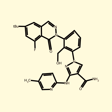 Cc1ccc(Nc2nn(-c3cccc(-n4ncc5cc(C(C)(C)C)cc(F)c5c4=O)c3CO)cc2C(N)=O)nc1